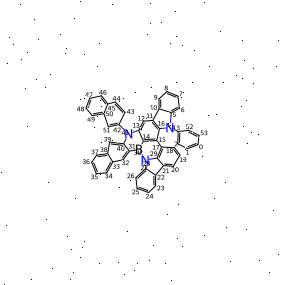 c1ccc(-n2c3ccccc3c3cc4c5c(c32)-c2cccc3c6ccccc6n(c23)B5c2cc3ccccc3cc2N4c2ccc3ccccc3c2)cc1